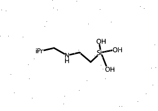 CC(C)CNCC[Si](O)(O)O